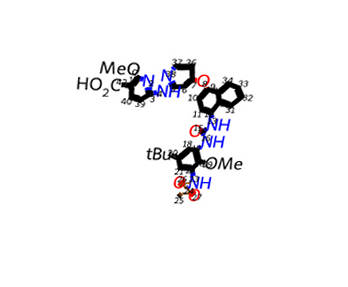 COc1nc(Nc2cc(Oc3ccc(NC(=O)Nc4cc(C(C)(C)C)cc(NS(C)(=O)=O)c4OC)c4ccccc34)ccn2)ccc1C(=O)O